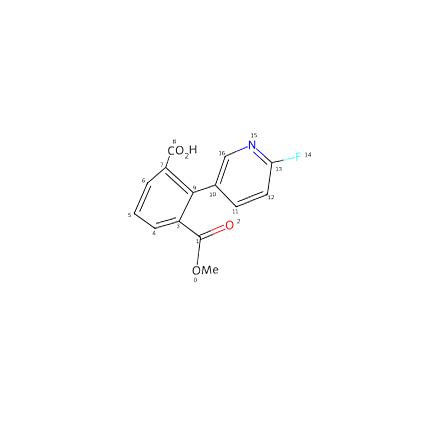 COC(=O)c1cccc(C(=O)O)c1-c1ccc(F)nc1